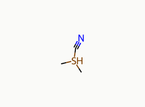 C[SH](C)C#N